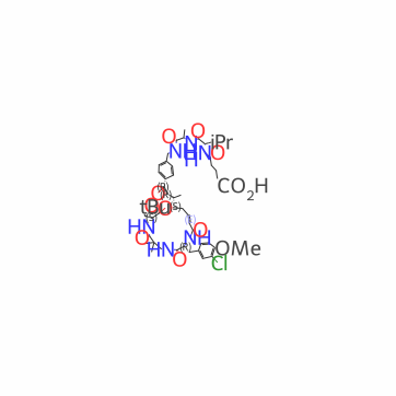 COc1ccc(C[C@H]2NC(=O)/C=C/C[C@@H](C(C)[C@H]3O[C@@H]3c3ccc(CNC(=O)C(C)NC(=O)C(NC(=O)CCCC(=O)O)C(C)C)cc3)OC(=O)[C@H](CC(C)(C)C)NC(=O)C(C)(C)CNC2=O)cc1Cl